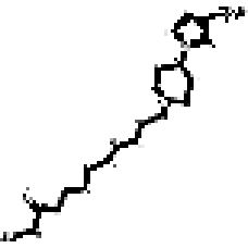 CCOC(=O)c1cnn(C2CCN(CCCCCCCCCC(=O)CC(C)(C)C)CC2)c1